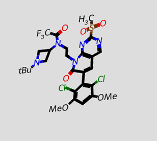 COc1cc(OC)c(Cl)c(-c2cc3cnc(S(C)(=O)=O)nc3n(CCN(C(=O)C(F)(F)F)C3CN(C(C)(C)C)C3)c2=O)c1Cl